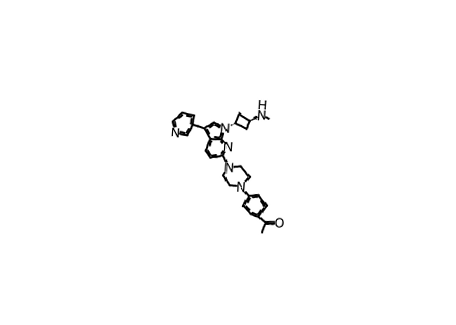 CN[C@H]1C[C@H](n2cc(-c3cccnc3)c3ccc(N4CCN(c5ccc(C(C)=O)cc5)CC4)nc32)C1